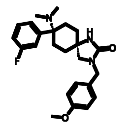 COc1ccc(CN2C[C@]3(CC[C@@](c4cccc(F)c4)(N(C)C)CC3)NC2=O)cc1